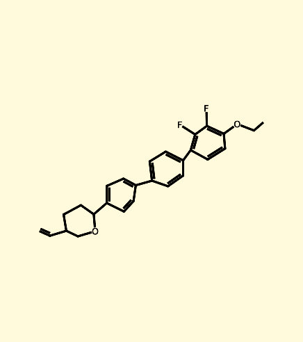 C=CC1CCC(c2ccc(-c3ccc(-c4ccc(OCC)c(F)c4F)cc3)cc2)OC1